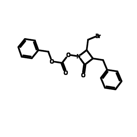 O=C(OCc1ccccc1)ON1C(=O)C(Cc2ccccc2)C1CBr